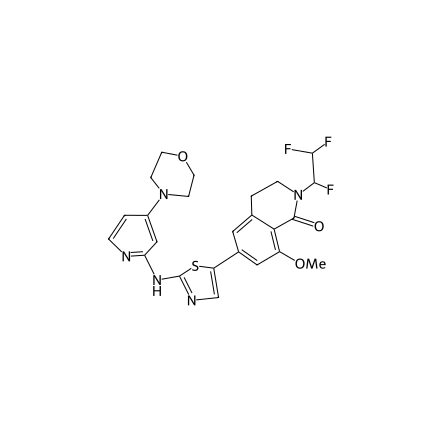 COc1cc(-c2cnc(Nc3cc(N4CCOCC4)ccn3)s2)cc2c1C(=O)N(C(F)C(F)F)CC2